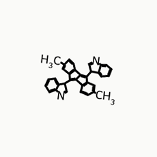 Cc1ccc2c(c1)C(C1C=Nc3ccccc31)=C1C2=C(C2C=Nc3ccccc32)c2cc(C)ccc21